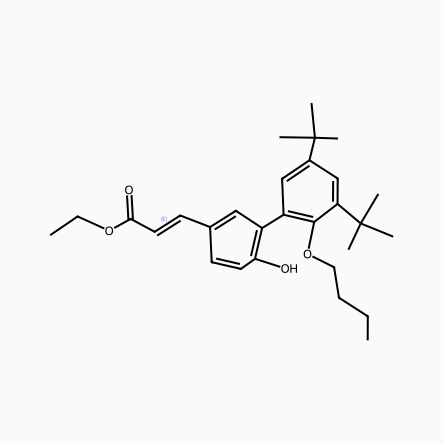 CCCCOc1c(-c2cc(/C=C/C(=O)OCC)ccc2O)cc(C(C)(C)C)cc1C(C)(C)C